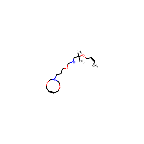 C/C=C\COC(C)(C)CNCOCCCN1COC/C=C\COC1